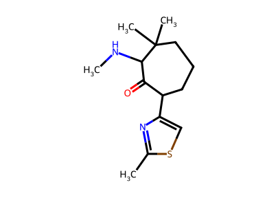 CNC1C(=O)C(c2csc(C)n2)CCCC1(C)C